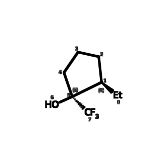 CC[C@@H]1CCC[C@@]1(O)C(F)(F)F